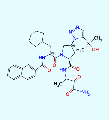 CC(NC(=O)[C@@H]1C[C@H](n2nncc2C(C)(C)O)CN1C(=O)[C@@H](CC1CCCCC1)NC(=O)c1ccc2ccccc2c1)C(=O)C(N)=O